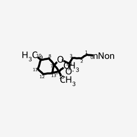 CCCCCCCCCCCCC([O])OC12CC(C)CCC1C2(C)C